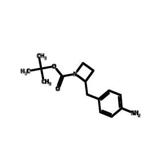 CC(C)(C)OC(=O)N1CCC1Cc1ccc(N)cc1